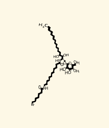 CCCCCCCCCCCCCC[C@@H](O)[C@@H](O)[C@H](CO[C@H]1OC(CO)[C@H](O)[C@H](O)C1O)NC(=O)CCCCCCCCCCCNC(=O)CCCCCCBr